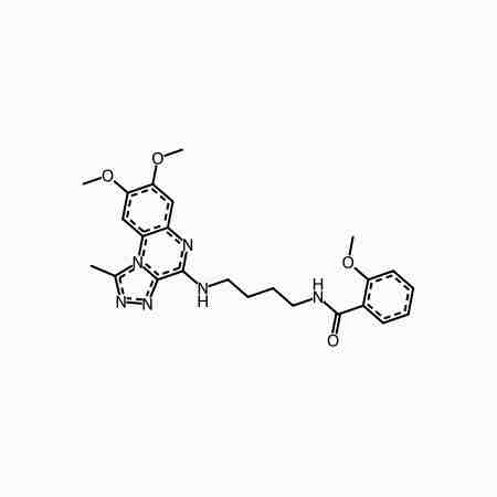 COc1cc2nc(NCCCCNC(=O)c3ccccc3OC)c3nnc(C)n3c2cc1OC